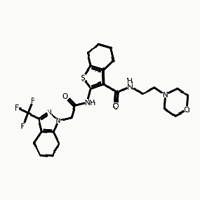 O=C(Cn1nc(C(F)(F)F)c2c1CCCC2)Nc1sc2c(c1C(=O)NCCN1CCOCC1)CCCC2